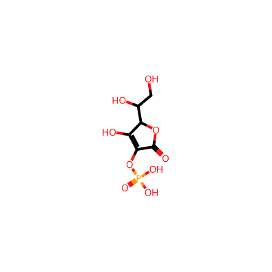 O=C1OC(C(O)CO)C(O)=C1OP(=O)(O)O